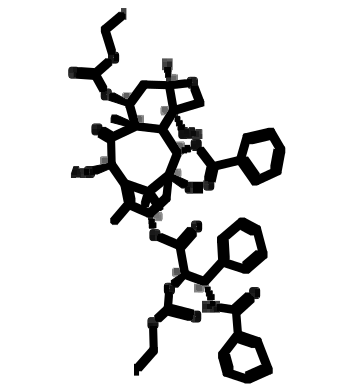 CC(=O)O[C@H]1C(=O)[C@@]2(C)C([C@H](OC(=O)c3ccccc3)[C@]3(O)C[C@H](OC(=O)[C@H](OC(=O)OCI)[C@@H](NC(=O)c4ccccc4)c4ccccc4)C(C)=C1C3(C)C)[C@]1(OC(C)=O)CO[C@@H]1C[C@@H]2OC(=O)OCI